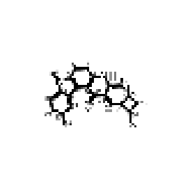 C/C=c1/[nH]c2ccc3c(c4c(n3C)=CCC(C)C=4)c2c(=O)/c1=C/C1C(C)CC1C